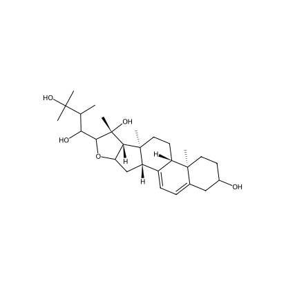 CC(C(O)C1OC2C[C@H]3C4=CC=C5CC(O)CC[C@]5(C)[C@H]4CC[C@]3(C)[C@H]2[C@@]1(C)O)C(C)(C)O